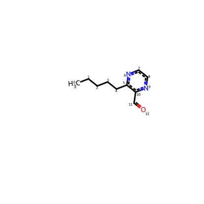 CCCCCc1nccnc1C=O